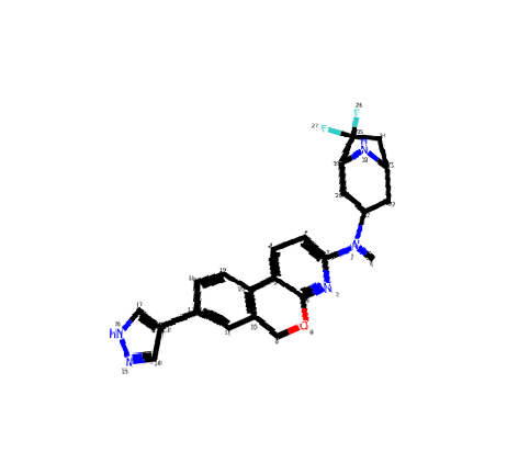 CN(c1ccc2c(n1)OCc1cc(-c3cn[nH]c3)ccc1-2)C1CC2CC(F)(F)C(C1)N2